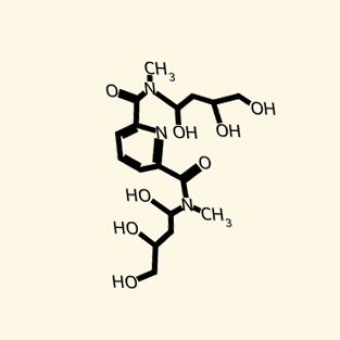 CN(C(=O)c1cccc(C(=O)N(C)C(O)CC(O)CO)n1)C(O)CC(O)CO